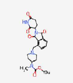 CN(C(=O)OC(C)(C)C)C1CCN(Cc2cccc3c2C(=O)N(C2CCC(=O)NC2=O)C3=O)CC1